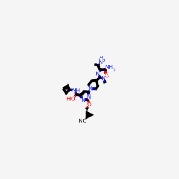 C=N/C(=N\C(C(N)=O)=C(/C)N)C1CCN(c2cc(C(O)NC34CC(C3)C4)nc(OC[C@H]3C[C@H]3C#N)n2)CC1